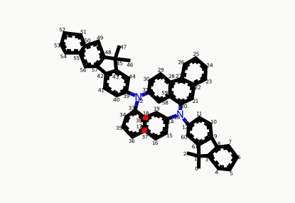 CC1(C)c2ccccc2-c2ccc(N(c3ccccc3)c3cc4ccccc4c4ccc(N(c5ccccc5)c5ccc6c(c5)C(C)(C)c5cc7ccccc7cc5-6)cc34)cc21